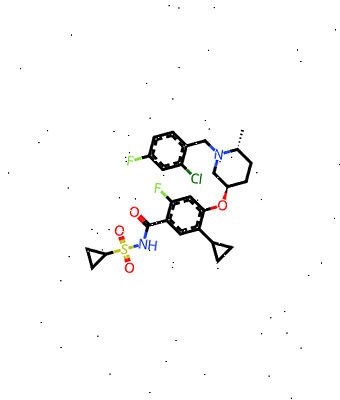 C[C@@H]1CC[C@@H](Oc2cc(F)c(C(=O)NS(=O)(=O)C3CC3)cc2C2CC2)CN1Cc1ccc(F)cc1Cl